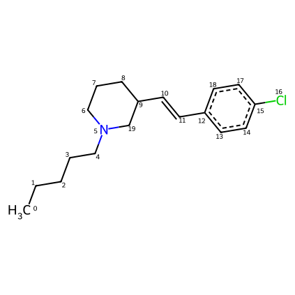 CCCCCN1CCCC(C=Cc2ccc(Cl)cc2)C1